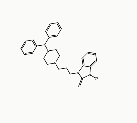 O=c1n(O)c2ccccc2n1CCCN1CCN(C(c2ccccc2)c2ccccc2)CC1